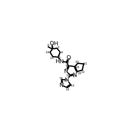 CC1(O)CCC(NC(=O)c2nc(-n3ccnc3)nc3c2CCC3)CC1